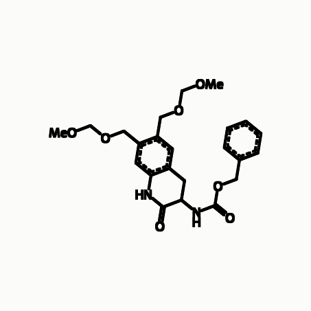 COCOCc1cc2c(cc1COCOC)NC(=O)C(NC(=O)OCc1ccccc1)C2